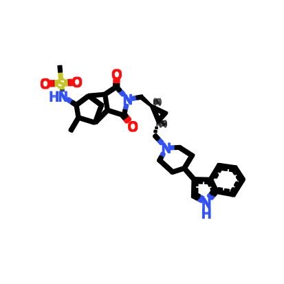 CC1C2CC(C1NS(C)(=O)=O)C1C(=O)N(C[C@H]3C[C@@H]3CN3CCC(c4c[nH]c5ccccc45)CC3)C(=O)C21